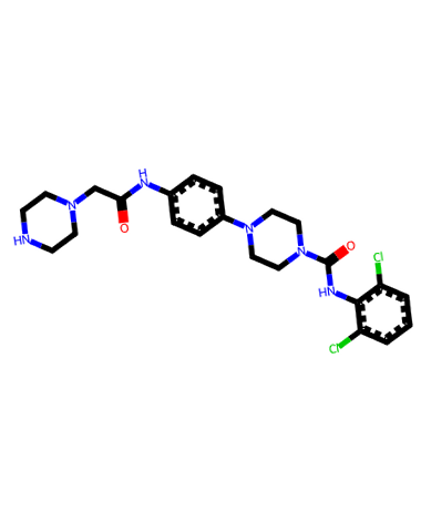 O=C(CN1CCNCC1)Nc1ccc(N2CCN(C(=O)Nc3c(Cl)cccc3Cl)CC2)cc1